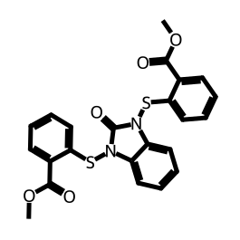 COC(=O)c1ccccc1Sn1c(=O)n(Sc2ccccc2C(=O)OC)c2ccccc21